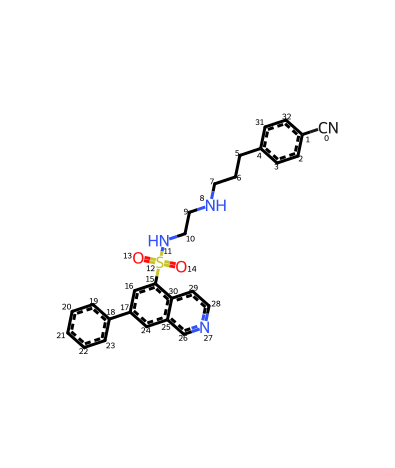 N#Cc1ccc(CCCNCCNS(=O)(=O)c2cc(-c3ccccc3)cc3cnccc23)cc1